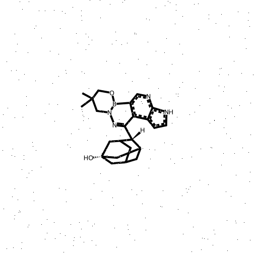 CC1(C)COB2c3cnc4[nH]ccc4c3C([C@H]3C4CC5CC3C[C@@](O)(C5)C4)=NN2C1